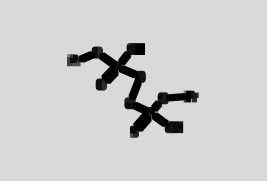 CC(C)OP(=O)(O)OOP(O)(=S)OC(C)C